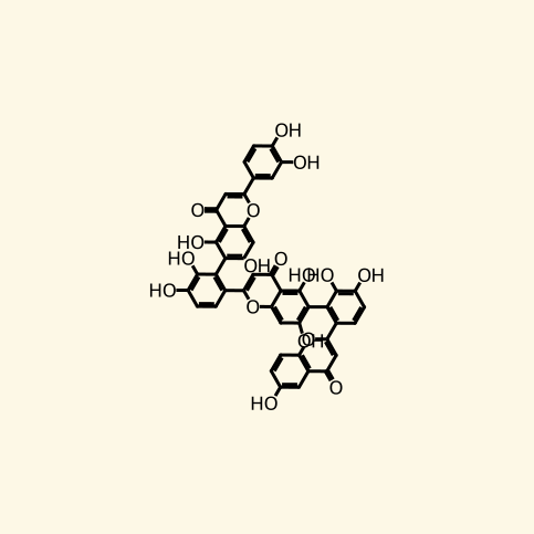 O=c1cc(-c2ccc(O)c(O)c2-c2c(O)cc3oc(-c4ccc(O)c(O)c4-c4c(O)cc5oc(-c6ccc(O)c(O)c6)cc(=O)c5c4O)cc(=O)c3c2O)oc2ccc(O)cc12